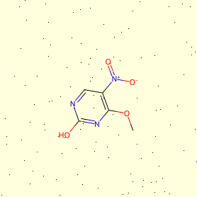 COc1nc(O)ncc1[N+](=O)[O-]